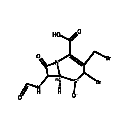 O=CNC1C(=O)N2C(C(=O)O)=C(CBr)C(Br)[S+]([O-])[C@@H]12